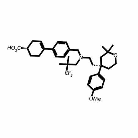 COc1ccc([C@]2(CCN(Cc3ccc(C4=CC[C@H](C(=O)O)CC4)cc3)CC(C)(C)C(F)(F)F)CCOC(C)(C)C2)cc1